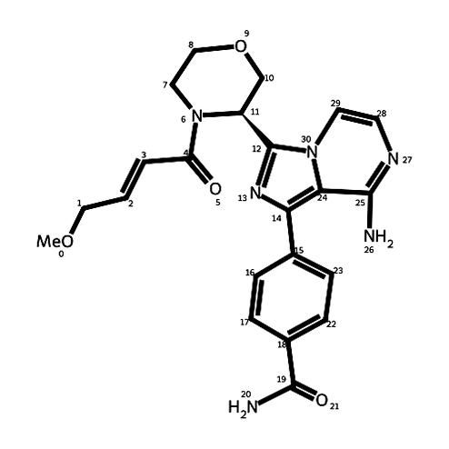 COC/C=C/C(=O)N1CCOC[C@H]1c1nc(-c2ccc(C(N)=O)cc2)c2c(N)nccn12